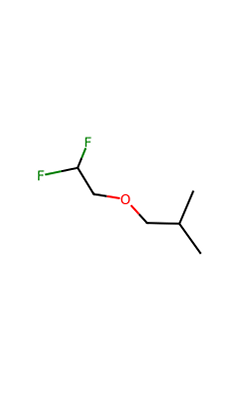 CC(C)COCC(F)F